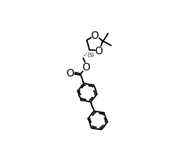 CC1(C)OC[C@@H](COC(=O)c2ccc(-c3ccccc3)cc2)O1